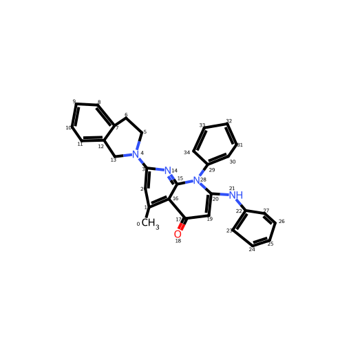 Cc1cc(N2CCc3ccccc3C2)nc2c1c(=O)cc(Nc1ccccc1)n2-c1ccccc1